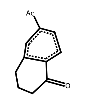 CC(=O)c1ccc2c(c1)CCCC2=O